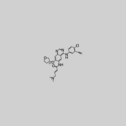 C#Cc1cc(Nc2ncnc3cc(O[C@H]4CCOC4)c(NC(=O)C=CCN(C)C)cc23)ccc1Cl